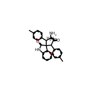 Cc1ccc(C(C(N)=O)C2(C(C(N)=O)c3ccc(C)cc3)C(=O)Nc3ccccc32)cc1